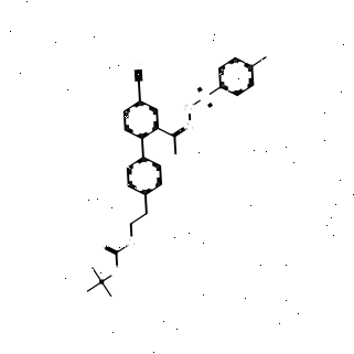 CC(=NNS(=O)(=O)c1ccc(C)cc1)c1cc(C#N)ccc1-c1ccc(CCNC(=O)OC(C)(C)C)cc1